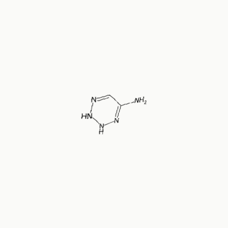 NC1=NNNN=C1